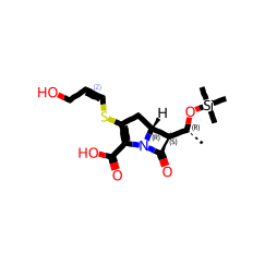 C[C@@H](O[Si](C)(C)C)[C@H]1C(=O)N2C(C(=O)O)=C(S/C=C\CO)C[C@H]12